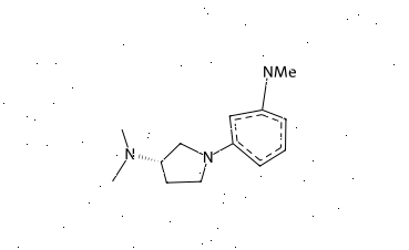 CNc1cccc(N2CC[C@H](N(C)C)C2)c1